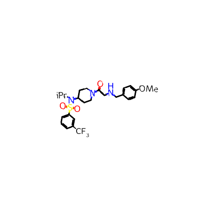 COc1ccc(CNCC(=O)N2CCC(N(C(C)C)S(=O)(=O)c3cccc(C(F)(F)F)c3)CC2)cc1